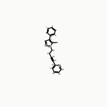 Cc1c(-c2ccccc2)cnn1CCC#Cc1ccccn1